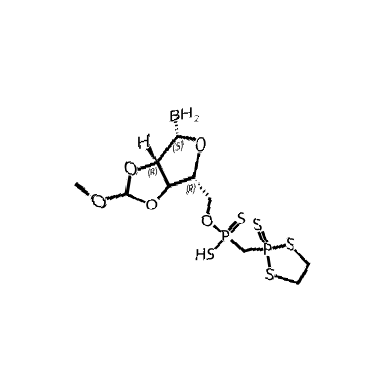 B[C@@H]1O[C@H](COP(=S)(S)CP2(=S)SCCS2)C2OC(OC)O[C@@H]21